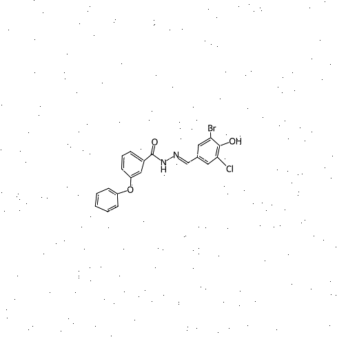 O=C(NN=Cc1cc(Cl)c(O)c(Br)c1)c1cccc(Oc2ccccc2)c1